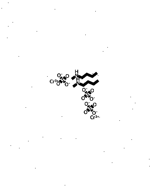 CCCCNC.CCCCNC.O=S(=O)([O-])[O-].O=S(=O)([O-])[O-].O=S(=O)([O-])[O-].[Cr+3].[Cr+3]